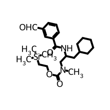 CN(CC(CC1CCCCC1)NC(=O)c1cccc(C=O)c1)C(=O)OCC[Si](C)(C)C